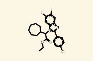 CCOC(=O)C(C1CCCCCC1)n1c(-c2ccc(Cl)cc2)nc2cc(F)c(F)cc21